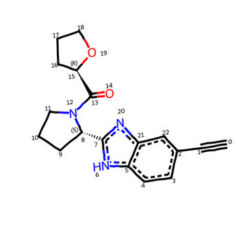 C#Cc1ccc2[nH]c([C@@H]3CCCN3C(=O)[C@H]3CCCO3)nc2c1